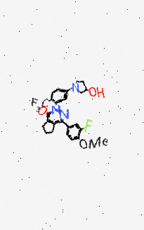 COc1ccc(-c2nn(-c3cc(N4CCC(O)C4)ccc3C(F)(F)F)c(=O)c3c2CCC3)cc1F